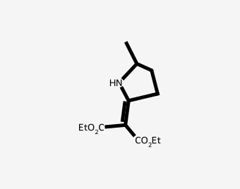 CCOC(=O)C(C(=O)OCC)=C1CCC(C)N1